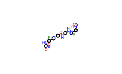 O=C1CCC(Nc2ccc(C3CCN([C@H]4CC[C@H](C(=O)NC5CCC(Nc6ncc(F)c(-c7cccc(N8CCCOC8=O)c7)n6)CC5)CC4)CC3)c(F)c2)C(=O)N1